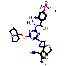 CC(c1ccc(P(C)(C)=O)cc1N)N(C)c1nc(OC[C@@]23CCCN2C[C@H](F)C3)nc(N2CC3(C2)SCc2sc(N)c(C#N)c23)n1